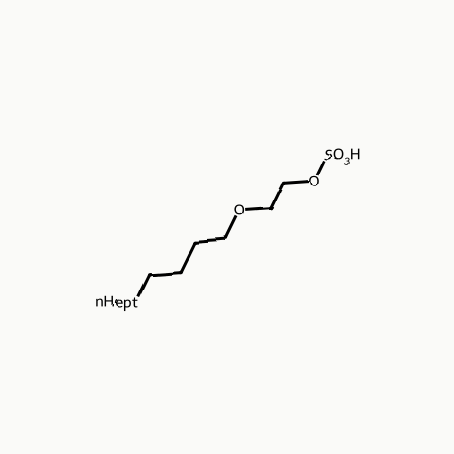 CCCCCCCCCCCOCCOS(=O)(=O)O